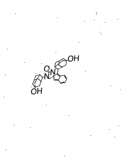 CN1C(=O)N(C2C3CC4CC2CC(O)(C4)C3)CC12C=c1ccccc1=C2C1C2CC3CC1CC(O)(C3)C2